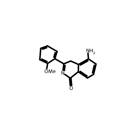 COc1ccccc1C1=NC(=O)c2cccc(N)c2C1